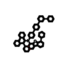 c1ccc(-c2cccc(-c3ccc(-c4ccc(N(c5c(-c6ccccc6)c6ccccc6c6ccccc56)c5cccc6c5oc5c(-c7ccccc7)cccc56)cc4)cc3)c2)cc1